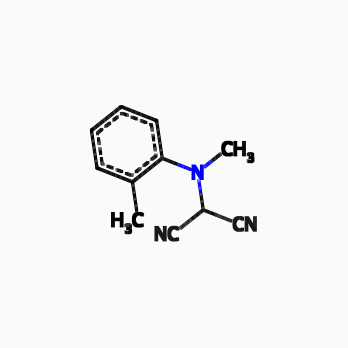 Cc1ccccc1N(C)C(C#N)C#N